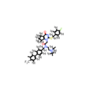 [2H]c1c([2H])c(C([2H])([2H])Sc2nc(=O)c3c(n2CC(=O)N(CCN(C([2H])([2H])C)C([2H])([2H])C)C([2H])([2H])c2c([2H])c([2H])c(-c4c([2H])c([2H])c(C(F)(F)F)c(C)c4[2H])c([2H])c2[2H])C([2H])([2H])C([2H])([2H])C3([2H])[2H])c([2H])c([2H])c1F